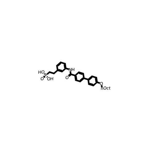 CCCCCCCCOc1ccc(-c2ccc(C(=O)Nc3cccc(CCP(=O)(O)O)c3)cc2)cc1